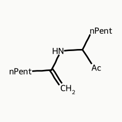 C=C(CCCCC)NC(CCCCC)C(C)=O